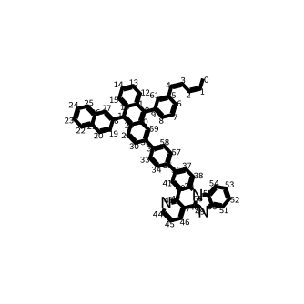 C/C=C\C=C/c1cccc(-c2c3ccccc3c(-c3ccc4ccccc4c3)c3ccc(-c4ccc(-c5ccc6c(c5)c5ncccc5c5nc7ccccc7n65)cc4)cc23)c1